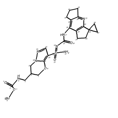 CC(C)(C)OC(=O)NCC1COc2c(S(N)(=O)=NC(=O)Nc3c4c(nc5c3CCC53CC3)CCC4)cnn2C1